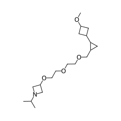 COC1CC(C2CC2COCCOCCOC2CN(C(C)C)C2)C1